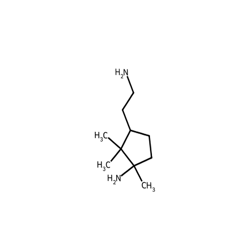 CC1(N)CCC(CCN)C1(C)C